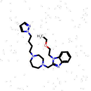 CCOCCn1c(CN2CCCN(CCCCn3cccn3)CC2)nc2ccccc21